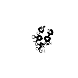 C[C@@H](Oc1cc(-n2cnc3cc(-c4cccnc4)ccc32)sc1C(=O)O)c1cccc(OC2CCN(C)CC2)c1Cl